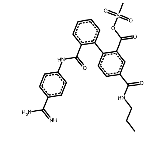 CCCNC(=O)c1ccc(-c2ccccc2C(=O)Nc2ccc(C(=N)N)cc2)c(C(=O)OS(C)(=O)=O)c1